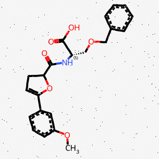 COc1cccc(C2=CCC(C(=O)N[C@@H](COCc3ccccc3)C(=O)O)O2)c1